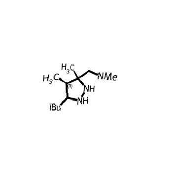 CCC(C)C1NNC(C)(CNC)[C@@H]1C